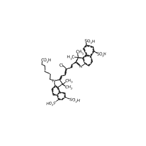 CC1(C)C(/C=C/C(Cl)=C/C=C2/N(CCCCCC(=O)O)c3ccc4c(S(=O)(=O)O)cc(S(=O)(=O)O)cc4c3C2(C)C)=Nc2ccc3c(S(=O)(=O)O)cc(S(=O)(=O)O)cc3c21